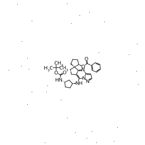 CC(C)(C)OC(=O)N[C@H]1CC[C@H](Nc2c3c(nc4ccnn24)[C@]2(CCC[C@H]2OC(=O)c2ccccc2)CC3)C1